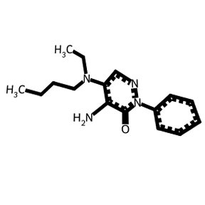 CCCCN(CC)c1cnn(-c2ccccc2)c(=O)c1N